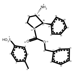 Cc1ccc(S(=O)(=O)O)cc1.N[C@H]1CCN(C(=O)OCc2ccccc2)[C@@H]1c1ccccc1